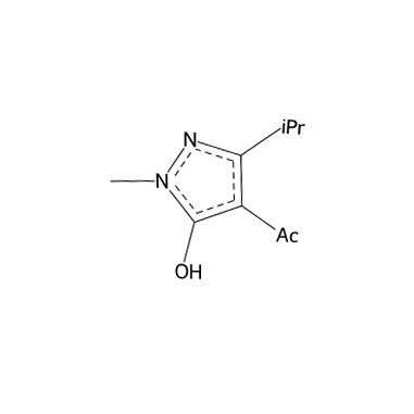 CC(=O)c1c(C(C)C)nn(C)c1O